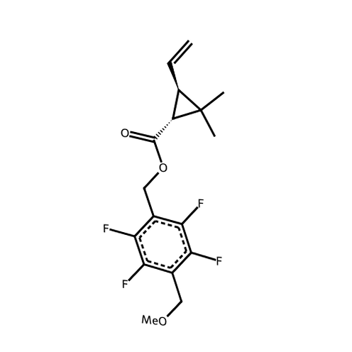 C=C[C@@H]1[C@@H](C(=O)OCc2c(F)c(F)c(COC)c(F)c2F)C1(C)C